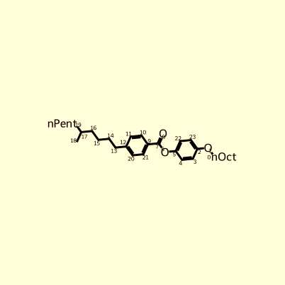 CCCCCCCCOc1ccc(OC(=O)c2ccc(CCCCC(C)CCCCC)cc2)cc1